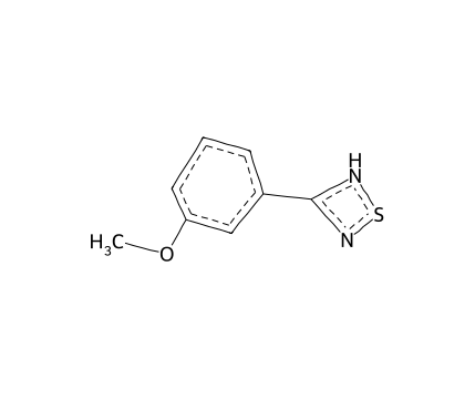 COc1cccc(-c2ns[nH]2)c1